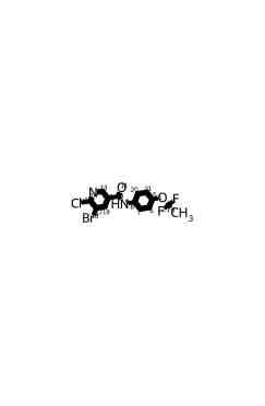 CC(F)(F)Oc1ccc(NC(=O)c2cnc(Cl)c(Br)c2)cc1